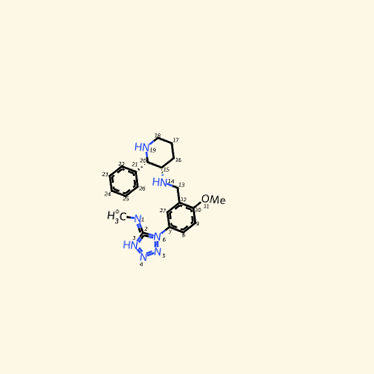 CN=c1[nH]nnn1-c1ccc(OC)c(CN[C@H]2CCCN[C@H]2c2ccccc2)c1